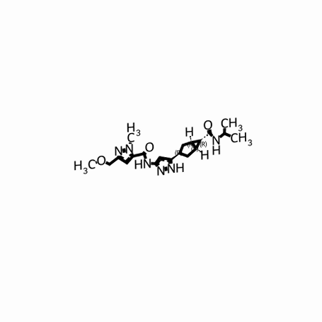 COCc1cc(C(=O)Nc2cc([C@H]3C[C@@H]4[C@H](C3)[C@H]4C(=O)NC(C)C)[nH]n2)n(C)n1